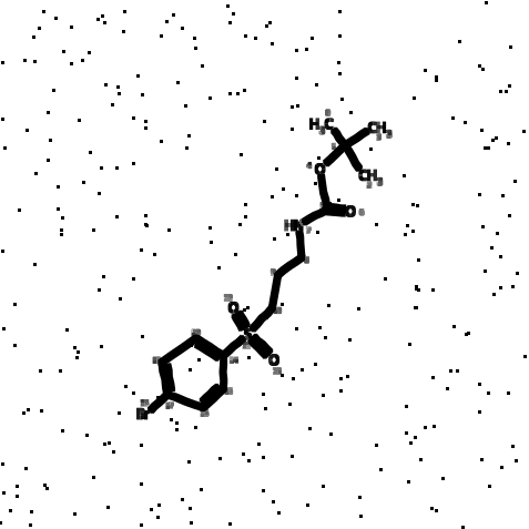 CC(C)(C)OC(=O)NCCCS(=O)(=O)c1ccc(Br)cc1